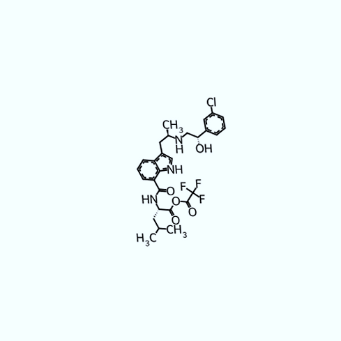 CC(C)C[C@H](NC(=O)c1cccc2c(C[C@@H](C)NC[C@@H](O)c3cccc(Cl)c3)c[nH]c12)C(=O)OC(=O)C(F)(F)F